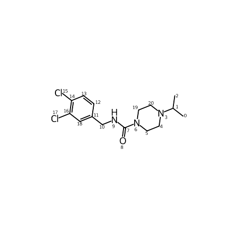 CC(C)N1CCN(C(=O)NCc2ccc(Cl)c(Cl)c2)CC1